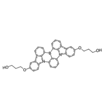 OCCCOc1ccc2c(c1)c1cccc3c1n2-c1cccc2c1B3c1cccc3c4cc(OCCCO)ccc4n-2c13